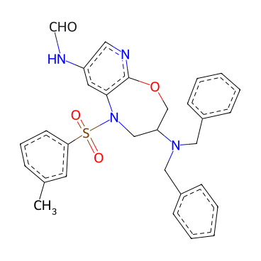 Cc1cccc(S(=O)(=O)N2CC(N(Cc3ccccc3)Cc3ccccc3)COc3ncc(NC=O)cc32)c1